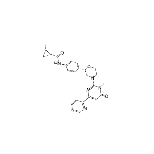 CC1CC1C(=O)Nc1ccc([C@H]2CN(c3nc(-c4ccncn4)cc(=O)n3C)CCO2)cc1